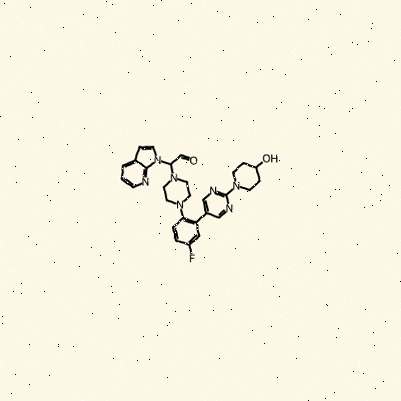 O=CC(N1CCN(c2ccc(F)cc2-c2cnc(N3CCC(O)CC3)nc2)CC1)n1ccc2cccnc21